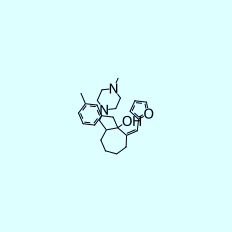 Cc1cccc(CC2(O)/C(=C\c3ccco3)CCCCC2CN2CCN(C)CC2)c1